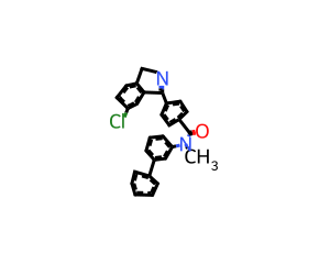 CN(C(=O)c1ccc(C2=NCCc3ccc(Cl)cc32)cc1)c1cccc(-c2ccccc2)c1